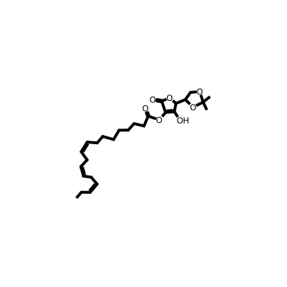 CC/C=C\C/C=C\C/C=C\CCCCCCCC(=O)OC1=C(O)C(C2COC(C)(C)O2)OC1=O